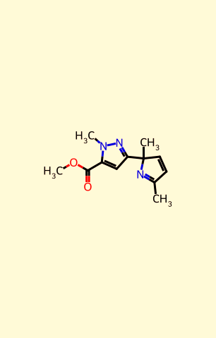 COC(=O)c1cc(C2(C)C=CC(C)=N2)nn1C